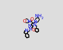 NC1CCCN(c2c(C(=O)N3CCOCC3)c3ncn(Cc4nccc5ccccc45)c(=O)c3n2Cc2ccccc2)C1